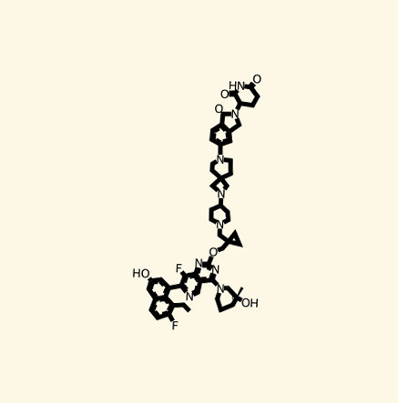 CCc1c(F)ccc2cc(O)cc(-c3ncc4c(N5CCC[C@@](C)(O)C5)nc(OCC5(CN6CCC(N7CC8(CCN(c9ccc%10c(c9)CN(C9CCC(=O)NC9=O)C%10=O)CC8)C7)CC6)CC5)nc4c3F)c12